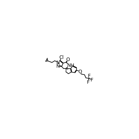 O=C1N[C@@]2(CCc3cc(OCCCC(F)(F)F)ccc32)Cc2nn(CCC3CC3)c(Cl)c21